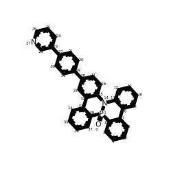 O=P12c3ccccc3-c3ccccc3N1c1ccc(-c3ccc(-c4cccnc4)cc3)cc1-c1ccccc12